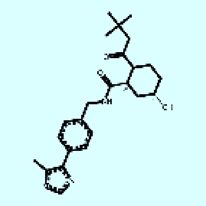 Cc1ncsc1-c1ccc(CNC(=O)[C@@H]2C[C@@H](O)CCC2C(=O)CC(C)(C)C)cc1